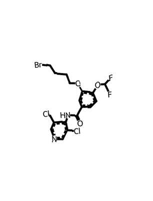 O=C(Nc1c(Cl)cncc1Cl)c1ccc(OC(F)F)c(OCCCCBr)c1